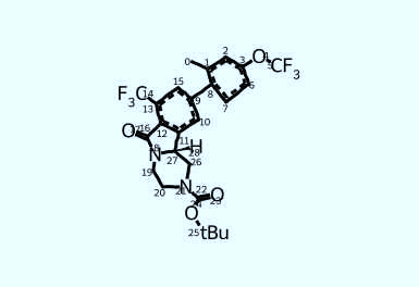 Cc1cc(OC(F)(F)F)ccc1-c1cc2c(c(C(F)(F)F)c1)C(=O)N1CCN(C(=O)OC(C)(C)C)C[C@@H]21